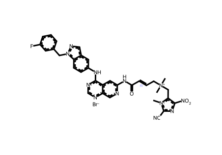 Cn1c(C#N)nc([N+](=O)[O-])c1C[N+](C)(C)C/C=C/C(=O)Nc1cc2c(Nc3ccc4c(cnn4Cc4cccc(F)c4)c3)ncnc2cn1.[Br-]